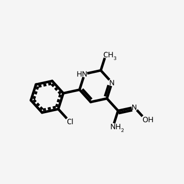 CC1N=C(/C(N)=N/O)C=C(c2ccccc2Cl)N1